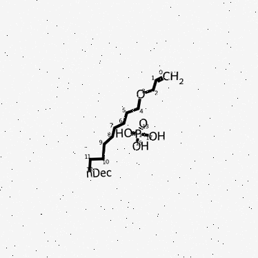 C=CCOCCCCCCCCCCCCCCCCCC.O=P(O)(O)O